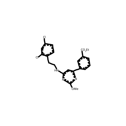 CCOC(=O)c1cccc(-c2cc(NCCc3ccc(Cl)cc3Cl)nc(OC)n2)c1